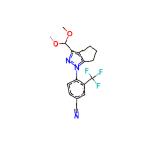 COC(OC)c1nn(-c2ccc(C#N)cc2C(F)(F)F)c2c1CCC2